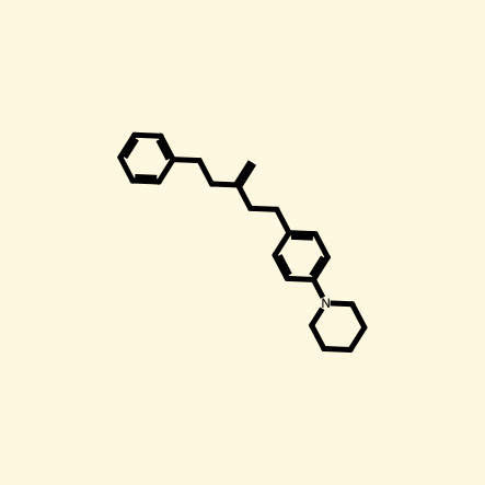 C=C(CCc1ccccc1)CCc1ccc(N2CCCCC2)cc1